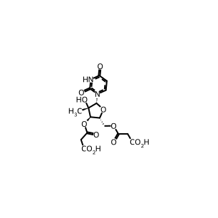 C[C@]1(O)[C@H](OC(=O)CC(=O)O)[C@@H](COC(=O)CC(=O)O)O[C@H]1n1ccc(=O)[nH]c1=O